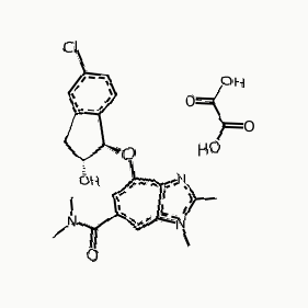 Cc1nc2c(O[C@@H]3c4ccc(Cl)cc4C[C@H]3O)cc(C(=O)N(C)C)cc2n1C.O=C(O)C(=O)O